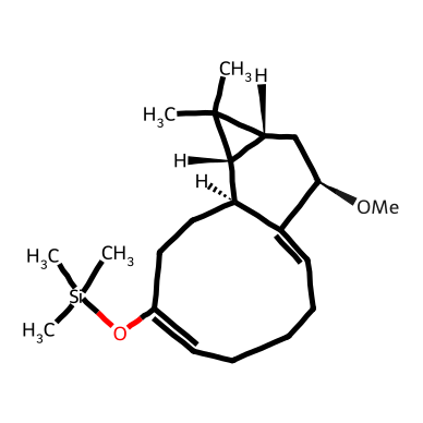 CO[C@@H]1C[C@@H]2[C@H]([C@@H]3CCC(O[Si](C)(C)C)=CCCCC=C31)C2(C)C